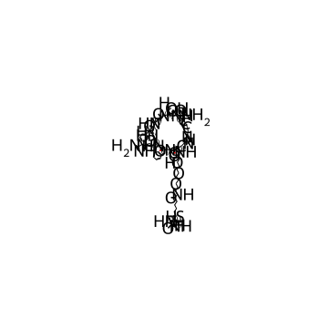 C[C@H]1NC(=O)[C@@H](Cc2ccccc2)NC(=O)[C@@H](CCCNC(=N)N)NC(=O)[C@@H](Cc2ccccc2)NC(=O)[C@@H](NC(=O)COCCOCCOCCNC(=O)CCCCC2SC[C@@H]3NC(=O)N[C@H]23)Cc2cn(nn2)CCCC[C@@H](C(N)=O)NC(=O)[C@@H](CO)NC1=O